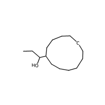 CCC(O)C1CCCCCCCCCCC1